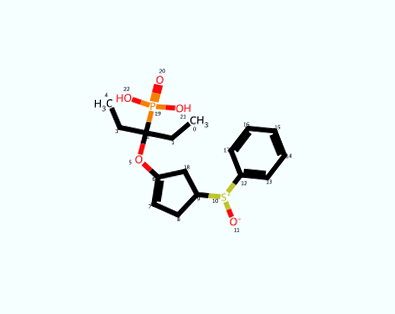 CCC(CC)(OC1=CCC([S+]([O-])c2ccccc2)C1)P(=O)(O)O